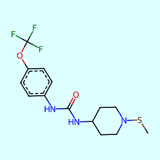 CSN1CCC(NC(=O)Nc2ccc(OC(F)(F)F)cc2)CC1